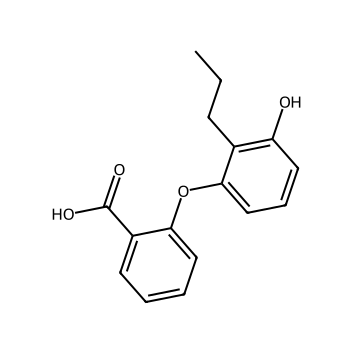 CCCc1c(O)cccc1Oc1ccccc1C(=O)O